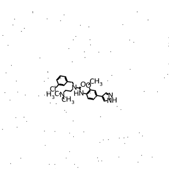 COc1cc(-c2cn[nH]c2)ccc1NC(=O)N(CCN(C)C)Cc1cccc(Cl)c1